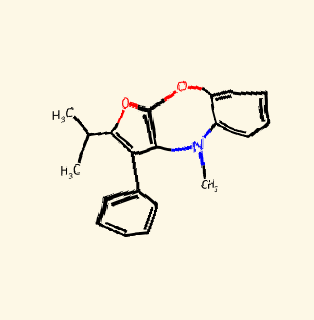 CC(C)c1oc2c(c1-c1ccccc1)N(C)c1ccccc1O2